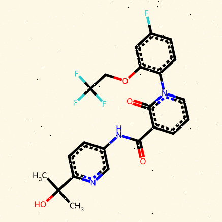 CC(C)(O)c1ccc(NC(=O)c2cccn(-c3ccc(F)cc3OCC(F)(F)F)c2=O)cn1